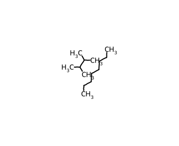 CC(C)C(C)C.CCCCCCCC